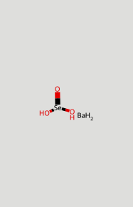 O=[Se](O)O.[BaH2]